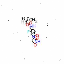 CC(C)(C)OC(=O)NCc1ccc2c(c1F)CN(C1CCC(=O)NC1=O)C2=O